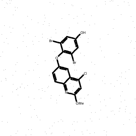 COc1cc(Cl)c2cc(Oc3c(Br)cc(O)cc3Br)ccc2n1